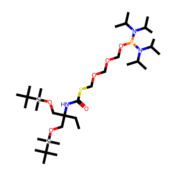 CCC(CO[Si](C)(C)C(C)(C)C)(CO[Si](C)(C)C(C)(C)C)NC(=O)SCOCOCOP(N(C(C)C)C(C)C)N(C(C)C)C(C)C